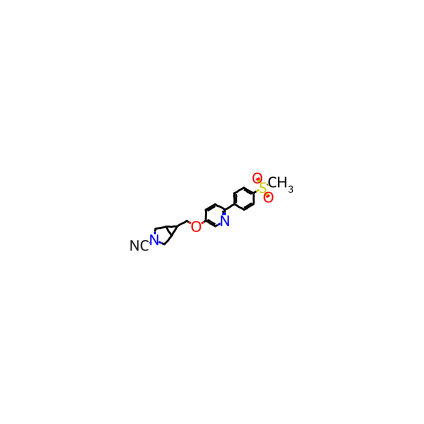 CS(=O)(=O)c1ccc(-c2ccc(OCC3C4CN(C#N)CC34)cn2)cc1